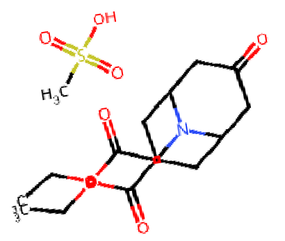 CCOC(=O)CN1C2CC(=O)CC1CC(C(=O)OCC)C2.CS(=O)(=O)O